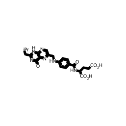 CC(C)Cc1nc(=O)c2nc(CNc3ccc(C(=O)NC(CCC(=O)O)C(=O)O)cc3)cnc2[nH]1